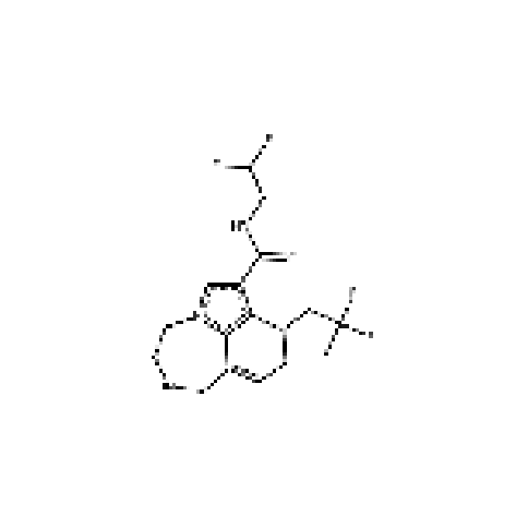 O=C(NCC(F)F)c1cn2c3c1C(CC(F)(F)F)CC=C3CNCC2